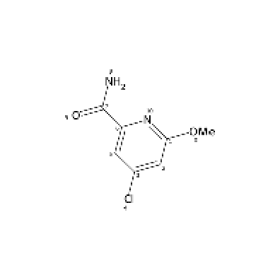 COc1cc(Cl)cc(C(N)=O)n1